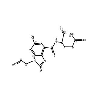 Cc1nc2c(C(=O)NC3CCC(=O)NC3=O)cc(Cl)cc2n1CC=O